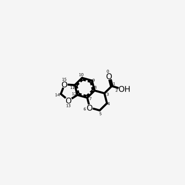 O=C(O)C1CCOc2c1ccc1c2OCO1